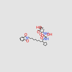 CC(C)CC(NC(=O)[C@H](CO)NC(=O)C(CCCCCCCCN1C(=O)c2ccccc2C1=O)C1CCCC1)C(=O)C1(CO)CO1